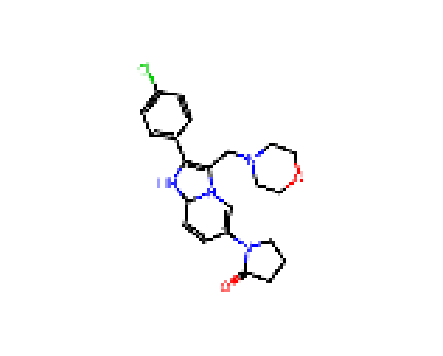 O=C1CCCN1C1=CN2C(CN3CCOCC3)=C(c3ccc(Cl)cc3)NC2C=C1